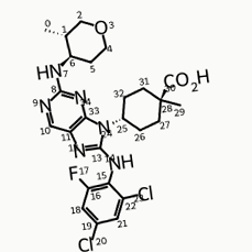 C[C@@H]1COCC[C@H]1Nc1ncc2nc(Nc3c(F)cc(Cl)cc3Cl)n([C@H]3CC[C@](C)(C(=O)O)CC3)c2n1